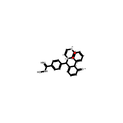 N=C(NO)c1ccc(C(C2=CC=CC(=O)C2c2ccccc2)N2C=COC=C2)cc1